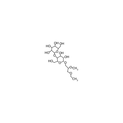 CCOCC(CO[C@@H]1OC(CO)[C@@H](O[C@@H]2OC(CO)[C@H](O)C(O)[C@@H]2O)C(O)[C@@H]1O)OC